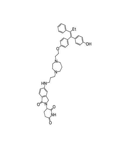 CC/C(=C(\c1ccc(O)cc1)c1ccc(OCCN2CCCN(CCCNc3ccc4c(c3)CN(C3CCC(=O)NC3=O)C4=O)CC2)cc1)c1ccccc1